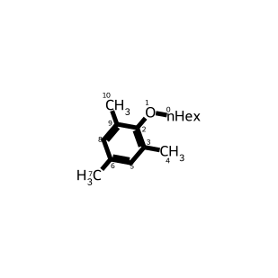 CCCCCCOc1c(C)cc(C)cc1C